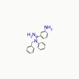 Nc1cccc([C@@H](N)N(Cc2ccccc2)c2ccccc2)c1